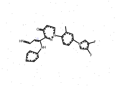 Cc1cc(-n2cc(F)c(F)c2)ccc1-n1ccc(=O)c(/C(=C/C=N)Nc2ccccc2)n1